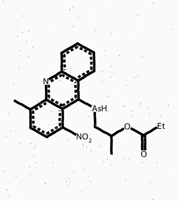 CCC(=O)OC(C)C[AsH]c1c2ccccc2nc2c(C)ccc([N+](=O)[O-])c12